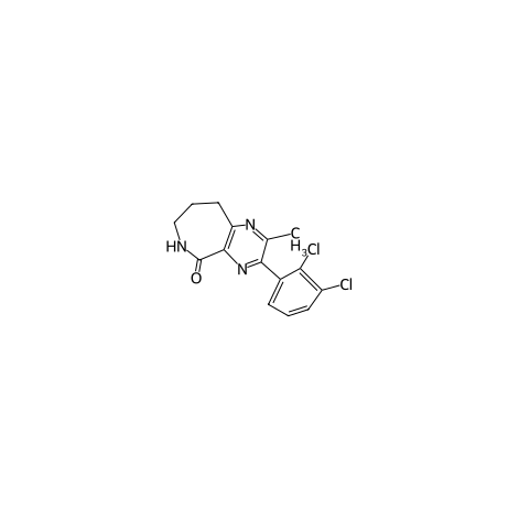 Cc1nc2c(nc1-c1cccc(Cl)c1Cl)C(=O)NCCC2